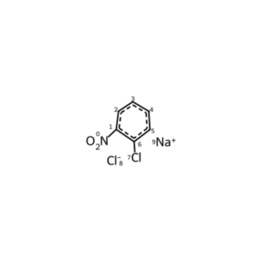 O=[N+]([O-])c1ccccc1Cl.[Cl-].[Na+]